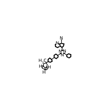 CC1(c2ccc(-c3ccc(-c4nc(-c5ccccc5)nc(-c5ccc(C#N)c6ncccc56)n4)cc3)cc2)C[C@H]2C[C@H]3C[C@@H](C1)C32